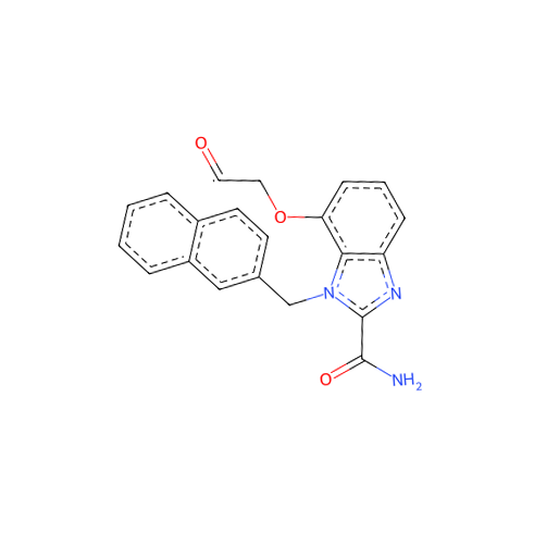 NC(=O)c1nc2cccc(OC[C]=O)c2n1Cc1ccc2ccccc2c1